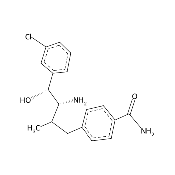 CC(Cc1ccc(C(N)=O)cc1)[C@@H](N)[C@H](O)c1cccc(Cl)c1